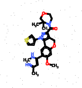 CN/C(=C\C(C)=N)c1cc2c(cc1OC)OCc1c(C(=O)N3CCOCC3(C)C)nn(-c3ccsc3)c1-2